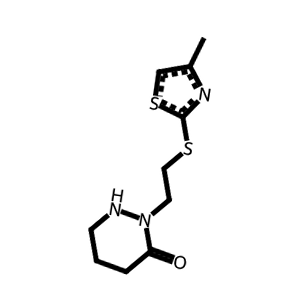 Cc1csc(SCCN2NCCCC2=O)n1